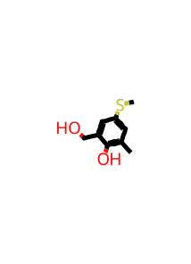 CSc1cc(C)c(O)c(CO)c1